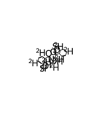 [2H]C1=CC([2H])(O[Si](C)(C)C)C(C(=O)c2c([2H])c([2H])c([2H])n2C(=O)C2C([2H])=CC([2H])=CC2([2H])O[Si](C)(C)C)C([2H])=C1